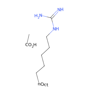 CC(=O)O.CCCCCCCCCCCCCNC(=N)N